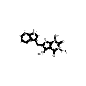 CCCn1c(=O)n(C)c(=O)c2c(C(=O)O)c(Cc3c[nH]c4ncccc34)sc21